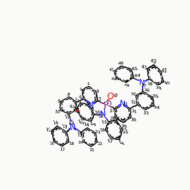 O=P(c1cccc(-c2cccc(N(c3ccccc3)c3ccccc3)c2)n1)(c1cccc(-c2cccc(N(c3ccccc3)c3ccccc3)c2)n1)N(c1ccccc1)c1ccccc1